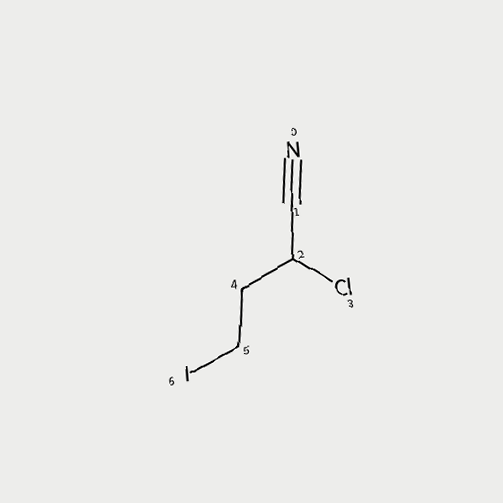 N#CC(Cl)CCI